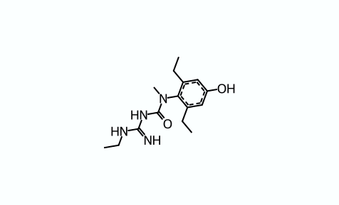 CCNC(=N)NC(=O)N(C)c1c(CC)cc(O)cc1CC